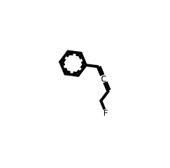 FCC=C=Cc1ccccc1